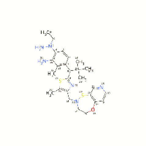 CCN(N)c1ccc(C(c2nc(CN3CCOc4ccncc4S3)c(C)s2)C(C)(C)C)c(C)c1N